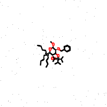 CCC[CH2][Sn]([CH2]CCC)([CH2]CCC)[C@H]1O[C@@H](OC)[C@H](OCc2ccccc2)[C@@H](O[Si](C(C)C)(C(C)C)C(C)C)[C@@H]1O